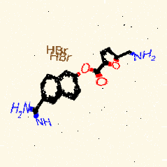 Br.Br.N=C(N)c1ccc2cc(OC(=O)c3ccc(CN)o3)ccc2c1